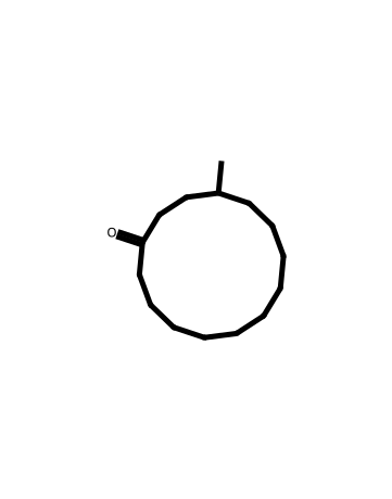 CC1CCCCCCCCCCC(=O)CC1